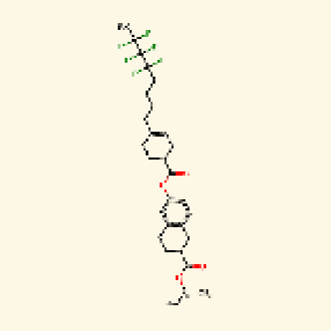 CCCCCC[C@H](C)OC(=O)C1CCc2cc(OC(=O)C3CC=C(CCCCC(F)(F)C(F)(F)C(F)(F)C(F)(F)F)CC3)ccc2C1